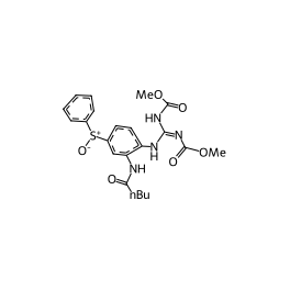 CCCCC(=O)Nc1cc([S+]([O-])c2ccccc2)ccc1NC(=NC(=O)OC)NC(=O)OC